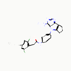 COc1cc(F)c(CC(=O)Nc2ccc(-n3c4c(c5ncnc(N)c53)CCC4)cc2)c(F)c1